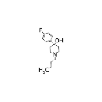 CCCCN1CCC(O)(c2ccc(F)cc2)CC1